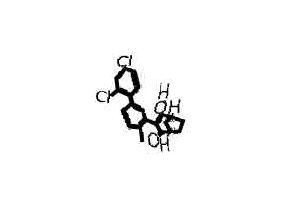 Cc1ccc(-c2ccc(Cl)cc2Cl)cc1C1=C(O)[C@H]2CC[C@H](C2)C1=O